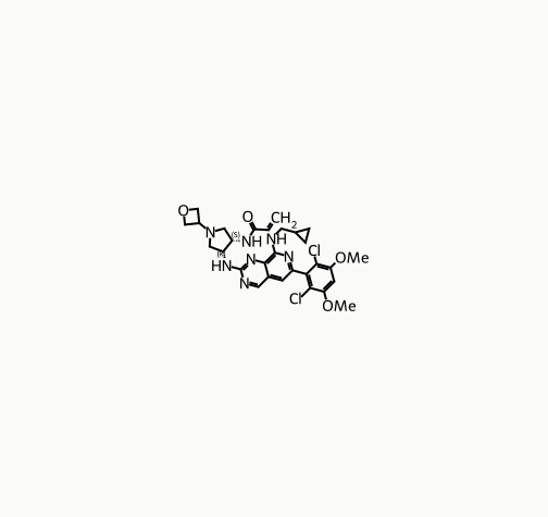 C=CC(=O)N[C@H]1CN(C2COC2)C[C@H]1Nc1ncc2cc(-c3c(Cl)c(OC)cc(OC)c3Cl)nc(NCC3CC3)c2n1